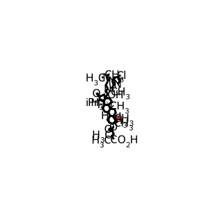 CC(C)C1=C2[C@H]3CC[C@@H]4[C@@]5(C)CC[C@H](OC(=O)CC(C)(C)C(=O)O)C(C)(C)[C@@H]5CC[C@@]4(C)[C@]3(C)CCC2(C(O)CN(CCN(C)C)[C@H](C)c2ncc(Cl)cn2)CC1=O